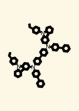 C=Cc1ccc(-n2c3ccccc3c3cc(N(c4ccc(-c5ccccc5)cc4)c4ccc(-c5ccc(N(c6ccc(-c7ccccc7)cc6)c6ccc7c(c6)c6ccccc6n7-c6ccc(C=C)cc6)cc5)cc4)ccc32)cc1